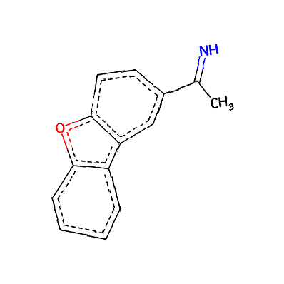 CC(=N)c1ccc2oc3ccccc3c2c1